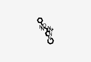 Cn1nc(-c2nnc(C3CCCCC3)o2)c2ccc(N3CCCCCC3)nc21